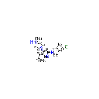 CCN(Cc1ccc(Cl)cc1)c1cc(N2CCC(NC(C)(C)C)CC2)c2ccccc2n1